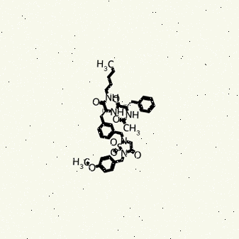 CCCCCNC(=O)[C@H](Cc1cccc(CN2CC(=O)N(Cc3ccc(OC)cc3)S2(=O)=O)c1)NC(=O)[C@H](Cc1ccccc1)NC(C)=O